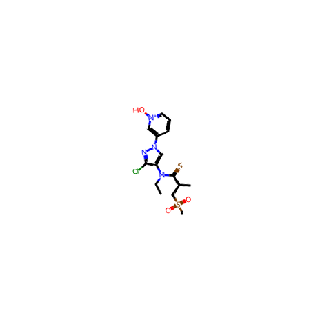 CCN(C(=S)C(C)CS(C)(=O)=O)c1cn(-c2ccc[n+](O)c2)nc1Cl